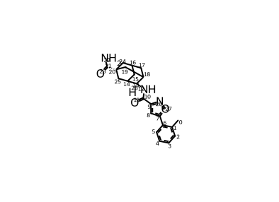 Cc1ccccc1-c1cc(C(=O)N[C@H]2C3CC4CC2C[C@](C(N)=O)(C4)C3)no1